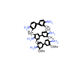 COc1cc(-c2ccc(N)c(OC)c2)ccc1N.Cc1cc(-c2cc(C)c(N)c(C)c2)cc(C)c1N.Cc1cc(-c2ccc(N)c(C)c2)ccc1N